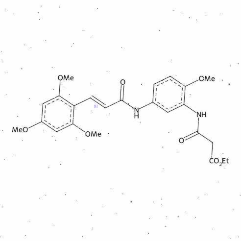 CCOC(=O)CC(=O)Nc1cc(NC(=O)/C=C/c2c(OC)cc(OC)cc2OC)ccc1OC